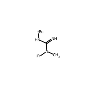 CC(C)N(C)C(=N)NC(C)(C)C